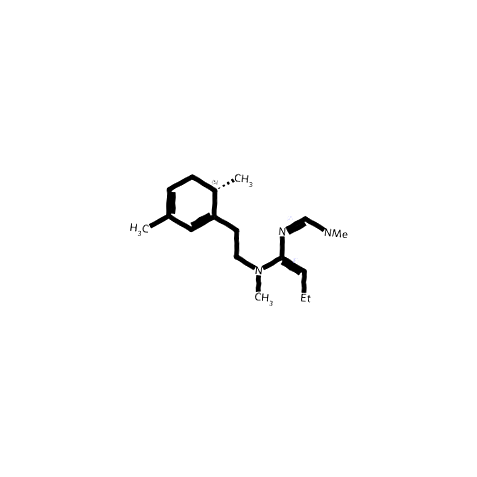 CC/C=C(/N=C\NC)N(C)CCC1=CC(C)=CC[C@@H]1C